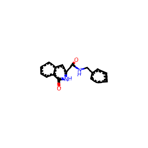 O=C(NCc1ccccc1)c1cc2ccccc2c(=O)[nH]1